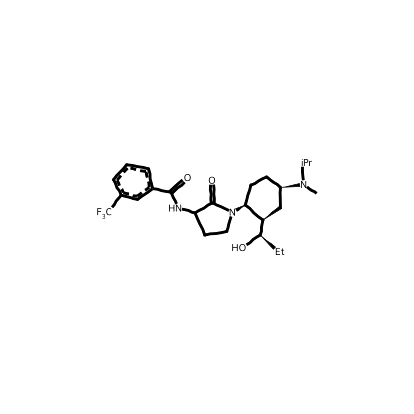 CC[C@@H](O)[C@@H]1C[C@H](N(C)C(C)C)CC[C@@H]1N1CCC(NC(=O)c2cccc(C(F)(F)F)c2)C1=O